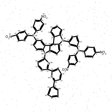 O=[N+]([O-])c1ccc(B(c2ccc([N+](=O)[O-])cc2)c2cccc(-n3c4ccccc4c4c5c6cc(B(c7ccc([N+](=O)[O-])cc7)c7ccc([N+](=O)[O-])cc7)ccc6n(-c6cccc(-c7cccc(-c8ccccc8)n7)n6)c5ccc43)c2)cc1